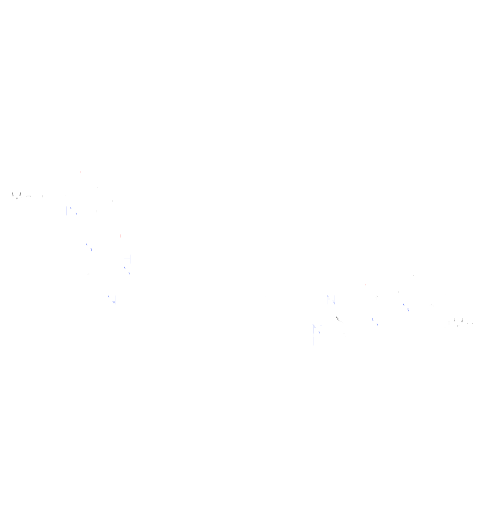 COC(=O)NC1(C(=O)N2CCC[C@H]2c2nc3ccc(-c4ccc(-c5ccc6nc([C@@H]7CCCN7C(=O)C7(NC(=O)OC)CC7)[nH]c6c5)cc4)cc3[nH]2)CC1